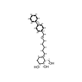 OC[C@@H]1[C@H](O)[C@H](O)CCN1CCCCCOCc1ccc(-c2ccccc2)cc1